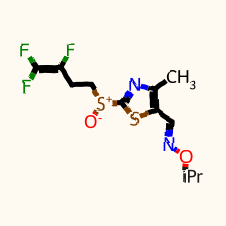 Cc1nc([S+]([O-])CCC(F)=C(F)F)sc1C=NOC(C)C